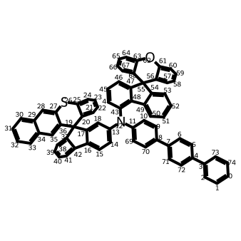 c1ccc(-c2ccc(-c3ccc(N(c4ccc5c(c4)C4(c6ccccc6Sc6cc7ccccc7cc64)c4ccccc4-5)c4cccc5c4-c4ccccc4C54c5ccccc5Oc5ccccc54)cc3)cc2)cc1